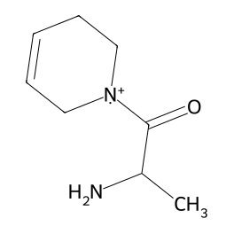 CC(N)C(=O)[N+]1CC=CCC1